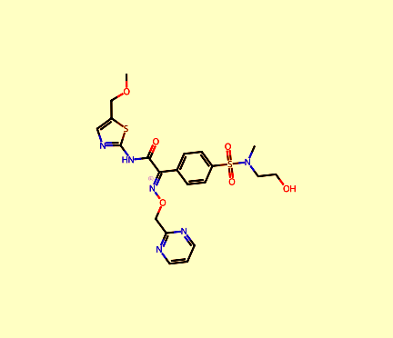 COCc1cnc(NC(=O)/C(=N/OCc2ncccn2)c2ccc(S(=O)(=O)N(C)CCO)cc2)s1